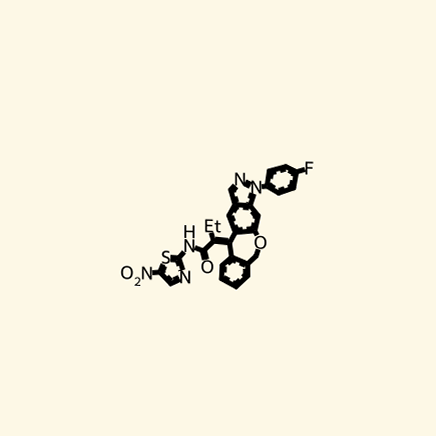 CCC(C(=O)Nc1ncc([N+](=O)[O-])s1)=C1c2ccccc2COc2cc3c(cnn3-c3ccc(F)cc3)cc21